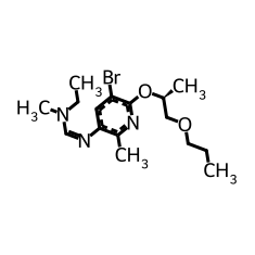 CCCOC[C@H](C)Oc1nc(C)c(/N=C\N(C)CC)cc1Br